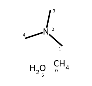 C.CN(C)C.O